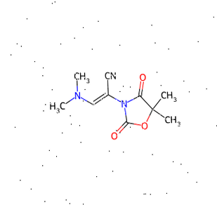 CN(C)C=C(C#N)N1C(=O)OC(C)(C)C1=O